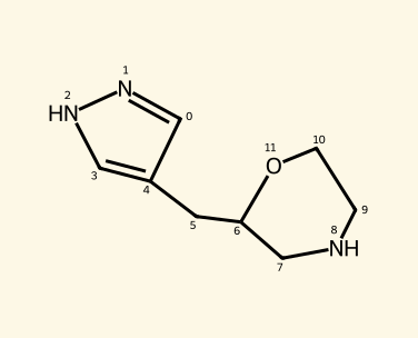 c1n[nH]cc1CC1CNCCO1